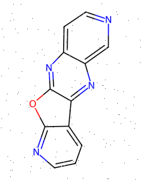 c1cnc2oc3nc4ccncc4nc3c2c1